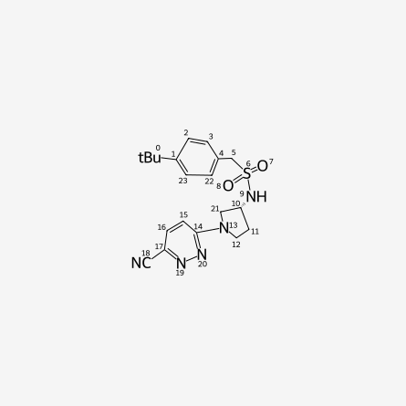 CC(C)(C)c1ccc(CS(=O)(=O)N[C@@H]2CCN(c3ccc(C#N)nn3)C2)cc1